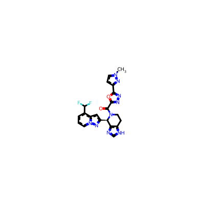 Cn1ccc(-c2nnc(C(=O)N3CCc4[nH]cnc4[C@H]3c3cc4c(C(F)F)cccn4n3)o2)n1